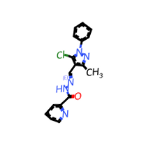 Cc1nn(-c2ccccc2)c(Cl)c1/C=N/NC(=O)c1ccccn1